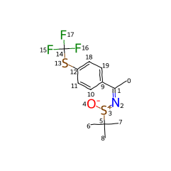 C/C(=N/[S+]([O-])C(C)(C)C)c1ccc(SC(F)(F)F)cc1